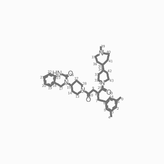 Cc1cc(C)cc(CC(CC(=O)N2CCC(N3Cc4ccccc4NC3=O)CC2)C(=O)N2CCC(C3CCN(C)CC3)CC2)c1